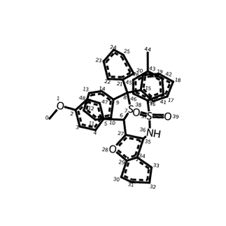 COc1ccc(C(SC(c2ccccc2)(c2ccccc2)c2ccccc2)c2oc3ccccc3c2NS(=O)(=O)c2ccc(C)cc2)cc1